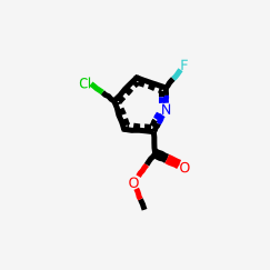 COC(=O)c1cc(Cl)cc(F)n1